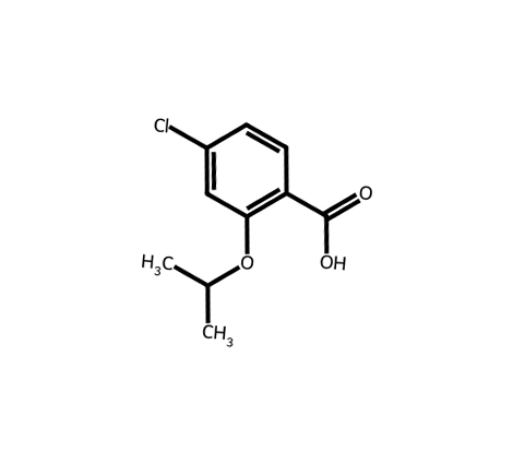 CC(C)Oc1cc(Cl)ccc1C(=O)O